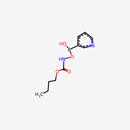 CCCCOC(=O)NOB(O)c1cccnc1